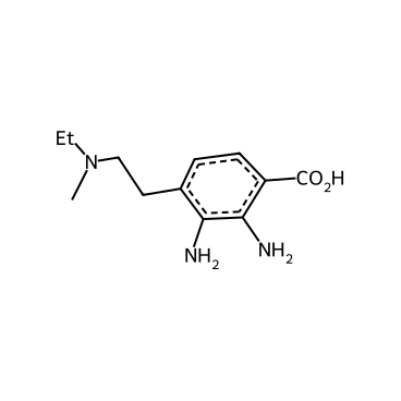 CCN(C)CCc1ccc(C(=O)O)c(N)c1N